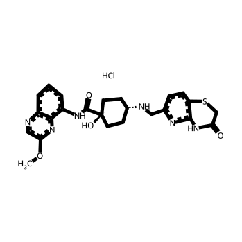 COc1cnc2cccc(NC(=O)[C@]3(O)CC[C@H](NCc4ccc5c(n4)NC(=O)CS5)CC3)c2n1.Cl